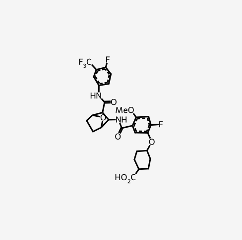 COc1cc(F)c(OC2CCC(C(=O)O)CC2)cc1C(=O)NC1C2CCC(O2)C1C(=O)Nc1ccc(F)c(C(F)(F)F)c1